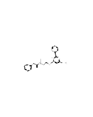 Cc1cc(NCCNC(=O)Cc2ccccc2)nc(-c2ccccn2)n1